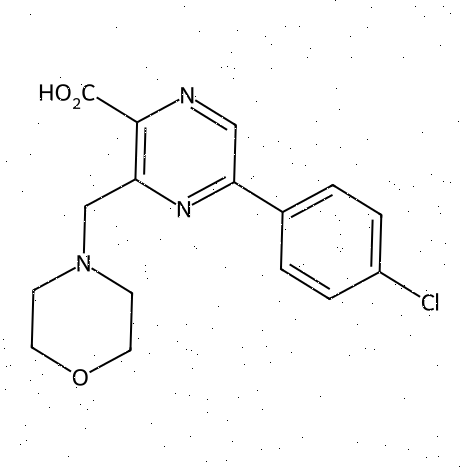 O=C(O)c1ncc(-c2ccc(Cl)cc2)nc1CN1CCOCC1